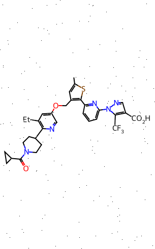 CCc1cc(OCc2cc(C)sc2-c2cccc(-n3ncc(C(=O)O)c3C(F)(F)F)n2)cnc1C1CCN(C(=O)C2CC2)CC1